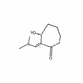 CN(C)/C=C1/C(=O)CCCCC1O